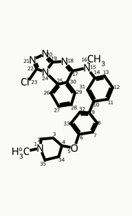 CN1CCC(Oc2ccc(-c3cccc(N(C)c4nc5nnc(Cl)n5c5ccccc45)c3)cc2)CC1